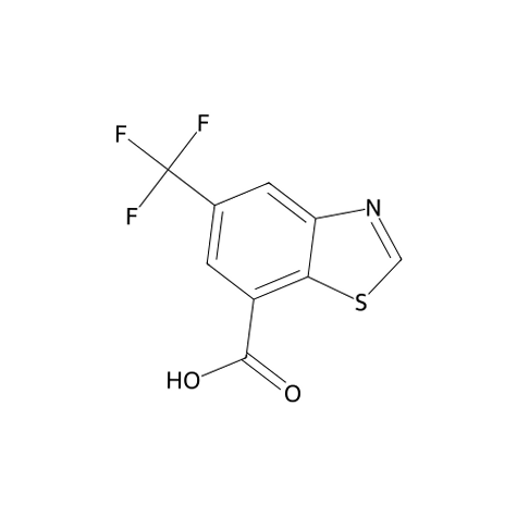 O=C(O)c1cc(C(F)(F)F)cc2ncsc12